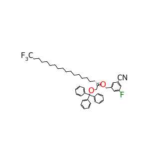 N#Cc1cc(F)cc(CO[C@@H](CCCCCCCCCCCCCCCCC(F)(F)F)COC(c2ccccc2)(c2ccccc2)c2ccccc2)c1